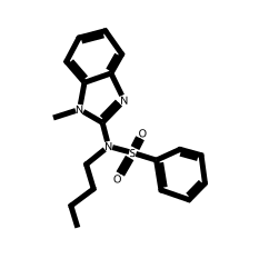 CCCCN(c1nc2ccccc2n1C)S(=O)(=O)c1ccccc1